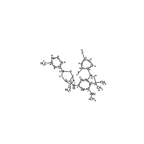 CNc1nc(NC2C3CC(C)C2CN(c2cc(C)ncn2)C3)nc2c1C(C)(C)CN2c1ccc(F)cc1F